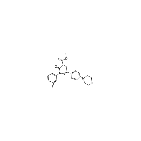 COC(=O)C1CC(c2ccc(N3CCOCC3)cc2)=NN(c2cccc(F)c2)C1=O